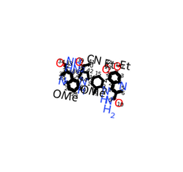 CCOc1cc2ncc(C(N)=O)c(NC3CCCCC3C)c2cc1OCC.COc1cc2ncc(C(N)=O)c(N[C@@]3(C(=O)CC#N)CCNC3)c2cc1OC